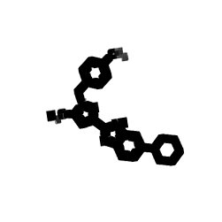 Cc1ccc(Cn2nc(-c3nc4ccc(C5CCCCC5)cc4[nH]3)cc2C)cc1